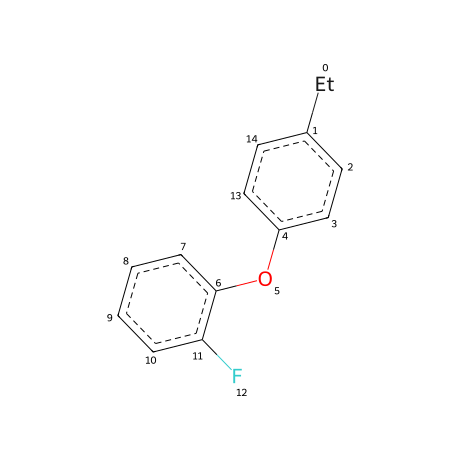 [CH2]Cc1ccc(Oc2ccccc2F)cc1